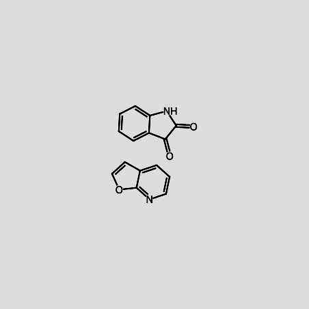 O=C1Nc2ccccc2C1=O.c1cnc2occc2c1